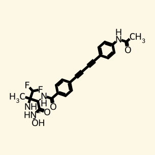 CC(=O)Nc1ccc(C#CC#Cc2ccc(C(=O)N[C@H](C(=O)NO)C(C)(N)C(F)F)cc2)cc1